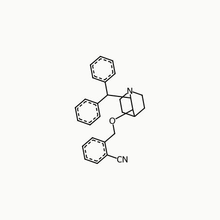 N#Cc1ccccc1COC1C2CCN(CC2)C1C(c1ccccc1)c1ccccc1